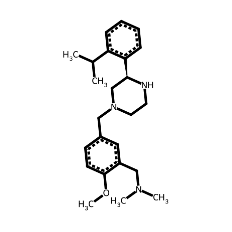 COc1ccc(CN2CCN[C@H](c3ccccc3C(C)C)C2)cc1CN(C)C